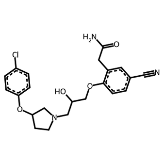 N#Cc1ccc(OCC(O)CN2CCC(Oc3ccc(Cl)cc3)C2)c(CC(N)=O)c1